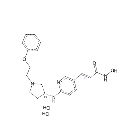 Cl.Cl.O=C(/C=C/c1ccc(N[C@@H]2CCN(CCOc3ccccc3)C2)nc1)NO